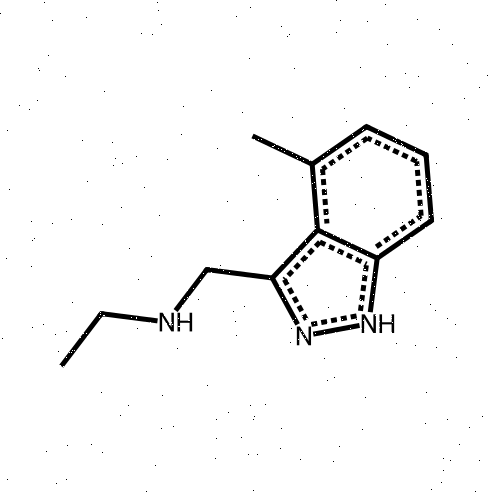 CCNCc1n[nH]c2cccc(C)c12